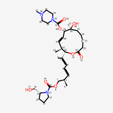 C/C(=C\C=C\[C@@H](C)COC(=O)N1CCC[C@@H]1CO)[C@H]1OC(=O)CCCC[C@](C)(O)[C@@H](OC(=O)N2CCN(C)CC2)/C=C/[C@@H]1C